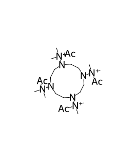 CC(=O)[N+](C)(C)N1CCN([N+](C)(C)C(C)=O)CCN([N+](C)(C)C(C)=O)CCN([N+](C)(C)C(C)=O)CC1